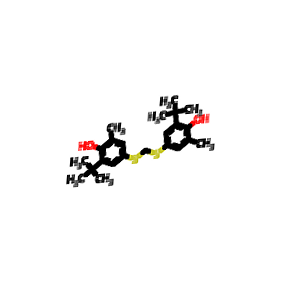 Cc1cc(SCSc2cc(C)c(O)c(C(C)(C)C)c2)cc(C(C)(C)C)c1O